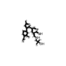 Cc1cc(-c2ccc(C#N)c(F)c2)c(C2=C/C(=C/NCC(C)(C)O)C(=N)N=C2)s1